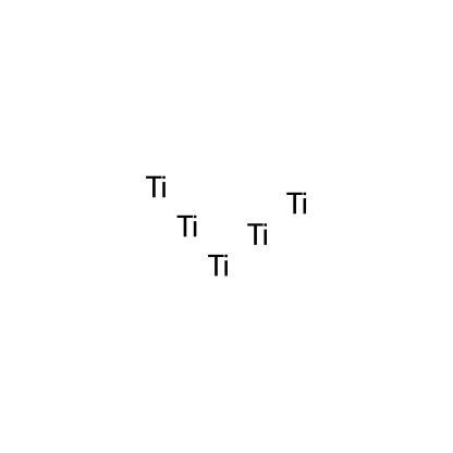 [Ti].[Ti].[Ti].[Ti].[Ti]